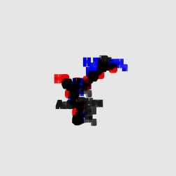 CCCCCCON(C(=O)[C@@H](NC(=O)[C@H]1CCCCN1C)[C@@H](C)CC)[C@H](C[C@@H](OC(C)=O)c1nc(C(=O)N[C@@H](Cc2ccc(O)cc2)C[C@H](C)C(=O)NNC(=O)OCc2ccc(NC(=O)[C@H](CCCNC(N)=O)NC(=O)[C@@H](N)C(C)C)cc2)cs1)C(C)C